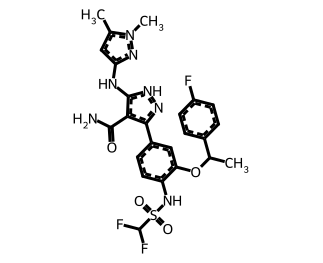 Cc1cc(Nc2[nH]nc(-c3ccc(NS(=O)(=O)C(F)F)c(OC(C)c4ccc(F)cc4)c3)c2C(N)=O)nn1C